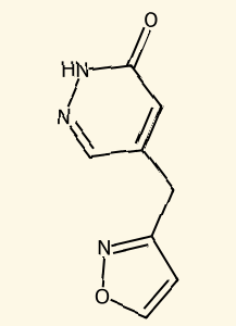 O=c1cc(Cc2ccon2)cn[nH]1